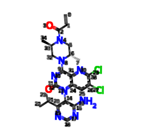 C=CC(=O)N1C[C@H](C)N(c2nc(=O)n(-c3c(N)ncnc3C(C)C)c3cc(Cl)c(Cl)nc23)C[C@H]1C